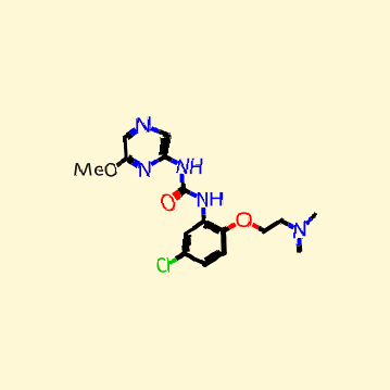 COc1cncc(NC(=O)Nc2cc(Cl)ccc2OCCN(C)C)n1